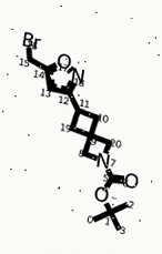 CC(C)(C)OC(=O)N1CC2(CC(c3cc(CBr)on3)C2)C1